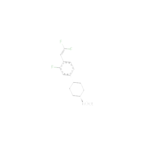 CCCCCCCC[C@H]1CC[C@H](c2ccc(C=C(F)F)c(F)c2)CC1